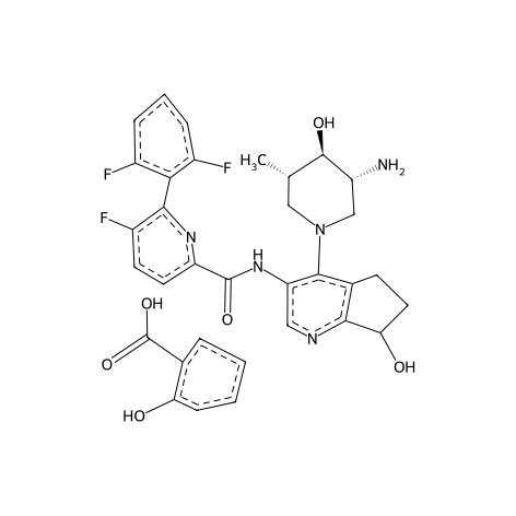 C[C@H]1CN(c2c(NC(=O)c3ccc(F)c(-c4c(F)cccc4F)n3)cnc3c2CCC3O)C[C@@H](N)[C@@H]1O.O=C(O)c1ccccc1O